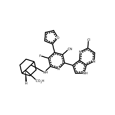 N#Cc1c(-c2c[nH]c3ncc(Cl)nc23)nc(NC2C3CCC(CC3)[C@H]2C(=O)O)c(F)c1-c1ccco1